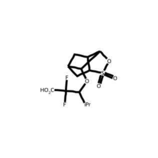 CC(C)C(OC1C2CC3C1OS(=O)(=O)C3C2)C(F)(F)C(=O)O